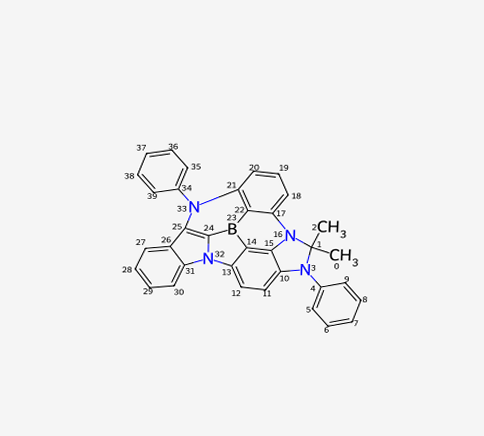 CC1(C)N(c2ccccc2)c2ccc3c4c2N1c1cccc2c1B4c1c(c4ccccc4n1-3)N2c1ccccc1